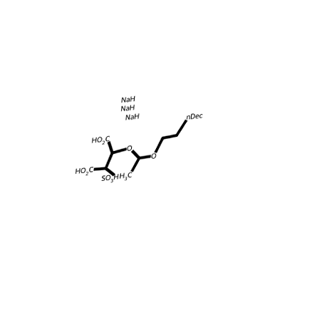 CCCCCCCCCCCCOC(C)OC(C(=O)O)C(C(=O)O)S(=O)(=O)O.[NaH].[NaH].[NaH]